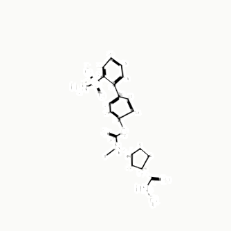 CCNC(=O)[C@H]1CC[C@@H](N(C)C(=O)Oc2ccc(-c3ccccc3S(N)(=O)=O)cc2)C1